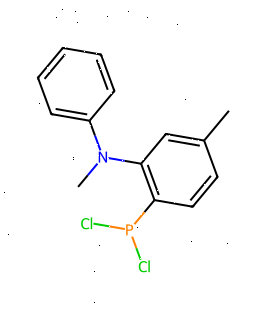 Cc1ccc(P(Cl)Cl)c(N(C)c2ccccc2)c1